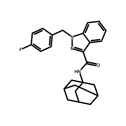 O=C(NC12CC3CC(CC(C3)C1)C2)c1nn(Cc2ccc(F)cc2)c2ccccc12